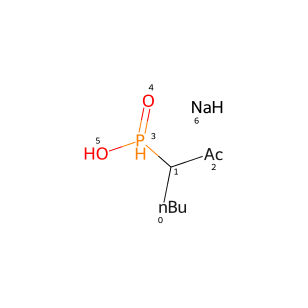 CCCCC(C(C)=O)[PH](=O)O.[NaH]